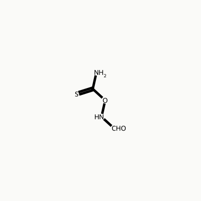 NC(=S)ONC=O